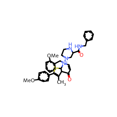 COc1ccc(C2=C(C)C3C(=O)C=C[N+](Cc4ccccc4OC)(N4CCNC(C(=O)NCc5ccccc5)C4)C3S2)cc1